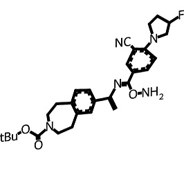 C=C(/N=C(\ON)c1ccc(N2CCC(F)C2)c(C#N)c1)c1ccc2c(c1)CCN(C(=O)OC(C)(C)C)CC2